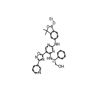 CCOB1OC(C)(C)c2cc(Nc3ncc(-c4nc(-c5cccnc5)no4)c(N[C@H](CO)c4ccccc4)n3)ccc21